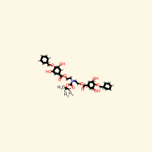 CC(C)(C)OC(=O)N(CCOC(=O)c1cc(O)c(OCc2ccccc2)c(O)c1)CCOC(=O)c1cc(O)c(OCc2ccccc2)c(O)c1